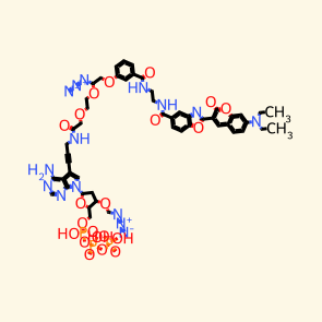 CCN(CC)c1ccc2cc(-c3nc4cc(C(=O)NCCNC(=O)c5cccc(OCC(N=[N+]=[N-])OCCOCC(=O)NCC#Cc6cn(C7CC(OCN=[N+]=[N-])C(COP(=O)(O)OP(=O)(O)OP(=O)(O)O)O7)c7ncnc(N)c67)c5)ccc4o3)c(=O)oc2c1